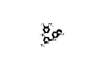 N#Cc1cc(Nc2ccc(C(F)(F)F)c(Cl)c2)cc(Nc2ccc3cc[nH]c3c2)n1